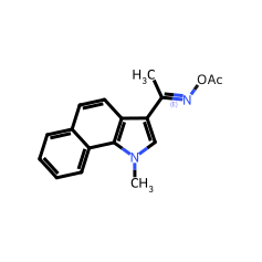 CC(=O)O/N=C(\C)c1cn(C)c2c1ccc1ccccc12